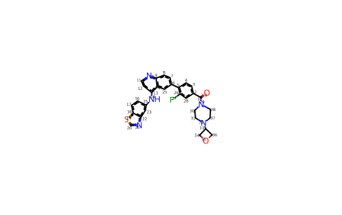 O=C(c1ccc(-c2ccc3nccc(Nc4ccc5scnc5c4)c3c2)c(F)c1)N1CCN(C2COC2)CC1